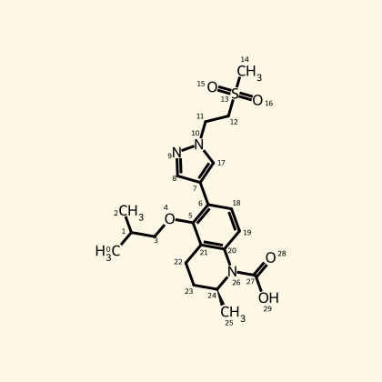 CC(C)COc1c(-c2cnn(CCS(C)(=O)=O)c2)ccc2c1CC[C@H](C)N2C(=O)O